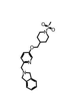 CS(=O)(=O)N1CCC(COc2ccc(CN3Cc4ccccc4C3)nc2)CC1